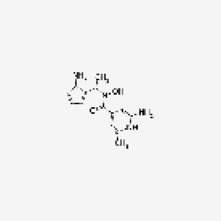 CC(C1=CC=CC1N)N(O)C(=O)C1=C[C@H](C)NC(N)=C1